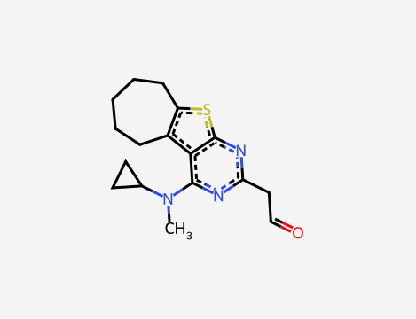 CN(c1nc(CC=O)nc2sc3c(c12)CCCCC3)C1CC1